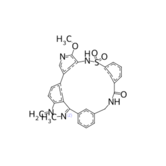 C=Nc1ccc2cc1/C(=N\C)c1cccc(c1)CNC(=O)c1cccc(c1)S(=O)(=O)Nc1cc-2cnc1OC